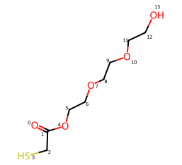 O=C(CS)OCCOCCOCCO